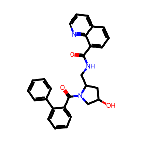 O=C(NCC1CC(O)CN1C(=O)c1ccccc1-c1ccccc1)c1cccc2cccnc12